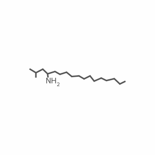 CCCCCCCCCCCCCC(N)CC(C)C